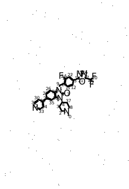 CN1CCC(n2c(=O)n(Cc3ccc(-c4nnc(C(F)F)o4)cc3F)c3ccc(-c4ccncc4)cc32)CC1